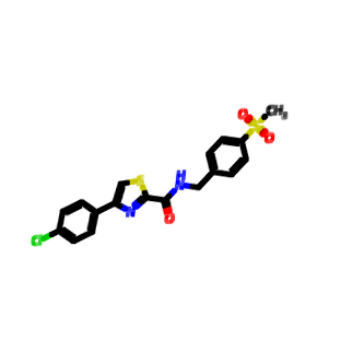 CS(=O)(=O)c1ccc(CNC(=O)c2nc(-c3ccc(Cl)cc3)cs2)cc1